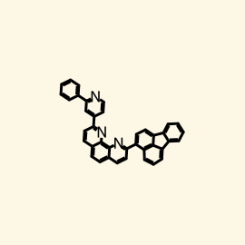 c1ccc(-c2cc(-c3ccc4ccc5ccc(-c6ccc7c8c(cccc68)-c6ccccc6-7)nc5c4n3)ccn2)cc1